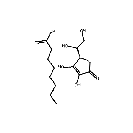 CCCCCCCC(=O)O.O=C1O[C@H](C(O)CO)C(O)=C1O